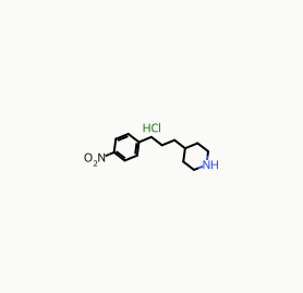 Cl.O=[N+]([O-])c1ccc(CCCC2CCNCC2)cc1